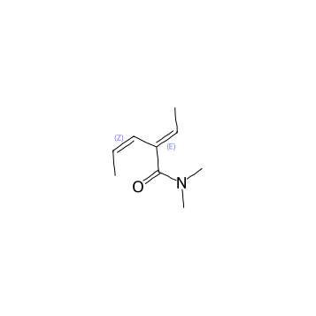 C/C=C\C(=C/C)C(=O)N(C)C